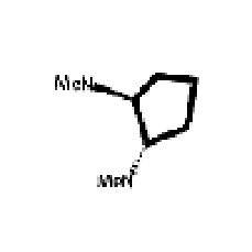 CN[C@H]1CCC[C@@H]1NC